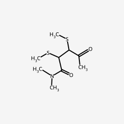 CSC(C(C)=O)C(SC)C(=O)N(C)C